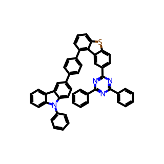 c1ccc(-c2nc(-c3ccccc3)nc(-c3ccc4sc5cccc(-c6ccc(-c7ccc8c(c7)c7ccccc7n8-c7ccccc7)cc6)c5c4c3)n2)cc1